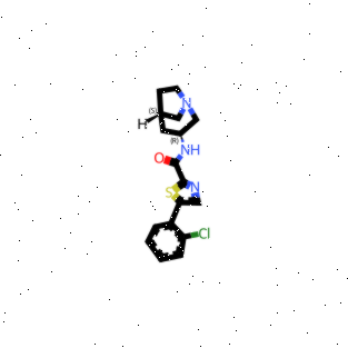 O=C(N[C@@H]1C[C@@H]2CCN(C2)C1)c1ncc(-c2ccccc2Cl)s1